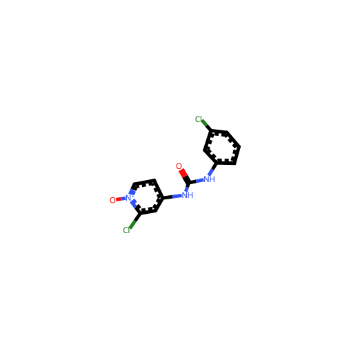 O=C(Nc1cccc(Cl)c1)Nc1cc[n+]([O-])c(Cl)c1